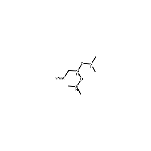 CCCCCC[SiH](O[SiH](C)C)O[SiH](C)C